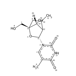 Cc1cn([C@@H]2O[C@]3(CO)CC(C)C2[C@H]3O)c(=O)[nH]c1=O